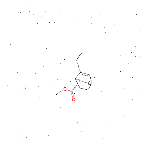 CCC1=CC2CCC1N(C(=O)OC)C2